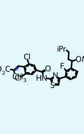 COC(CCC(C)C)c1cccc(-c2csc(NC(=O)c3cc(Cl)c(/C=C(\C)C(=O)O)c(Cl)c3)n2)c1F